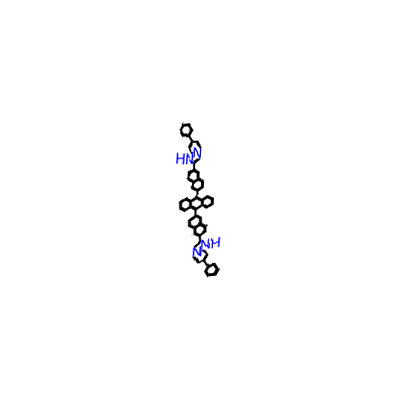 C1=CN2C=C(c3ccc4cc(-c5c6ccccc6c(-c6ccc7cc(C8=CN9C=CC(c%10ccccc%10)=CC9N8)ccc7c6)c6ccccc56)ccc4c3)NC2C=C1c1ccccc1